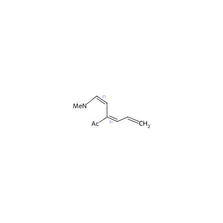 C=C/C=C(\C=C/NC)C(C)=O